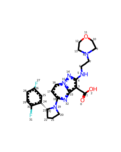 O=C(O)c1c(NCCN2CCOCC2)nn2ccc(N3CCC[C@@H]3c3cc(F)ccc3F)nc12